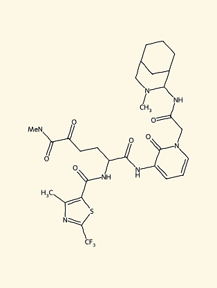 CNC(=O)C(=O)CCC(NC(=O)c1sc(C(F)(F)F)nc1C)C(=O)Nc1cccn(CC(=O)NC2C3CCCC(C3)CN2C)c1=O